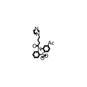 CC(=O)c1ccc2c(c1)N(C(=O)CCCn1ccnc1)c1ccccc1S2(=O)=O